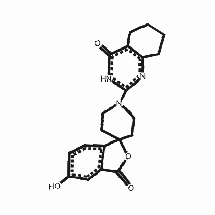 O=C1OC2(CCN(c3nc4c(c(=O)[nH]3)CCCC4)CC2)c2ccc(O)cc21